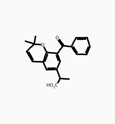 CC(C(=O)O)c1cc2c(c(C(=O)c3ccccc3)c1)OC(C)(C)C=C2